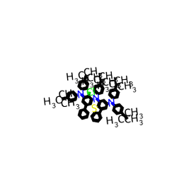 CC(C)(C)c1ccc(N(c2ccc(C(C)(C)C)cc2)c2cc(N(c3ccc(C(C)(C)C)cc3)c3cc(-c4ccccc4)cc(N(c4ccc(C(C)(C)C)cc4)c4ccc(C(C)(C)C)cc4)c3Cl)c3sc4ccccc4c3c2)cc1